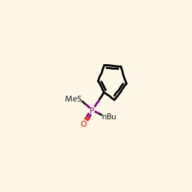 CCCCP(=O)(SC)c1ccccc1